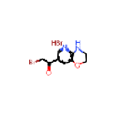 Br.O=C(CBr)c1cnc2c(c1)OCCN2